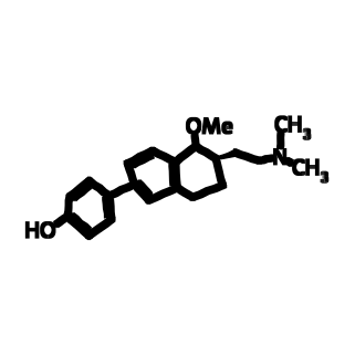 COC1c2ccc(-c3ccc(O)cc3)cc2CC[C@@H]1CCN(C)C